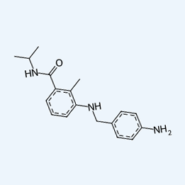 Cc1c(NCc2ccc(N)cc2)cccc1C(=O)NC(C)C